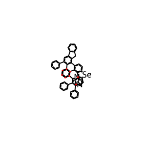 c1ccc(-c2cc3c(c(-c4ccc5[se]c6ccccc6c5c4-c4ccccc4-c4nnnc(-c5ccccc5)c4-c4ccccc4)c2-c2ccccc2)Cc2ccccc2-3)cc1